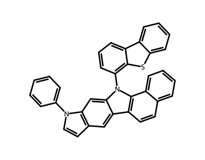 c1ccc(-n2ccc3cc4c5ccc6ccccc6c5n(-c5cccc6c5sc5ccccc56)c4cc32)cc1